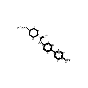 CCCCC[C@H]1CC[C@H](C(=O)Oc2ccc(-c3ccc(CCC)cn3)cc2)CC1